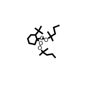 CCCC(C)(C)OOC1(OOC(C)(C)CCC)CCCCC1C(C)(C)C